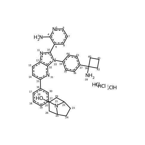 Cl.Cl.Cl.Nc1ncccc1-c1nc2ccc(-c3cccc(N4C5CCC4CC(O)C5)c3)nc2n1-c1ccc(C2(N)CCC2)cc1